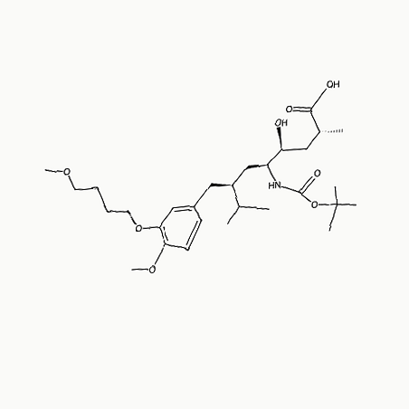 COCCCCOc1cc(C[C@@H](C[C@H](NC(=O)OC(C)(C)C)[C@@H](O)C[C@@H](C)C(=O)O)C(C)C)ccc1OC